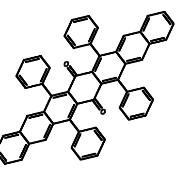 O=C1c2c(c(-c3ccccc3)c3cc4ccccc4cc3c2-c2ccccc2)C(=O)c2c1c(-c1ccccc1)c1cc3ccccc3cc1c2-c1ccccc1